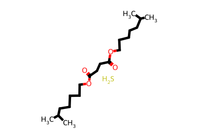 CC(C)CCCCCOC(=O)CCC(=O)OCCCCCC(C)C.S